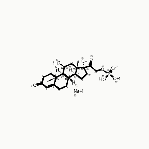 C[C@]12CCC(=O)C=C1CC[C@@H]1[C@@H]2[C@@H](O)C[C@@]2(C)[C@H]1CC[C@]2(O)C(=O)COP(=O)(O)O.[NaH]